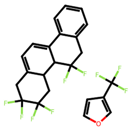 FC(F)(F)c1ccoc1.FC1(F)Cc2ccccc2C2=CC=C3CC(F)(F)C(F)(F)CC3C21